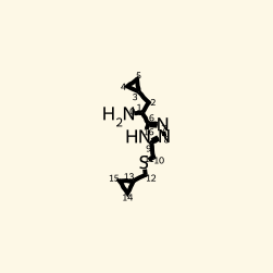 NC(CC1CC1)c1nnc(CSCC2CC2)[nH]1